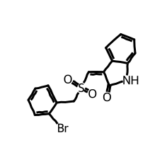 O=C1Nc2ccccc2C1=CS(=O)(=O)Cc1ccccc1Br